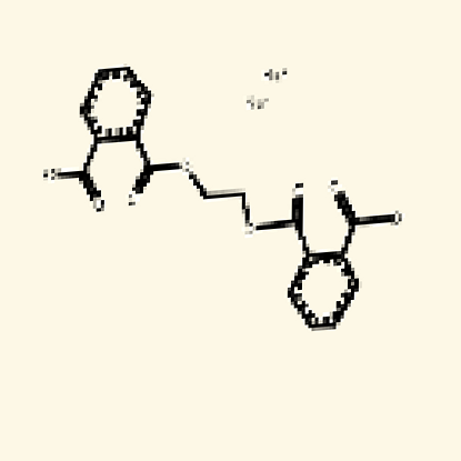 O=C([O-])c1ccccc1C(=O)OCCOC(=O)c1ccccc1C(=O)[O-].[Na+].[Na+]